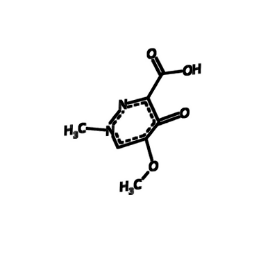 COc1cn(C)nc(C(=O)O)c1=O